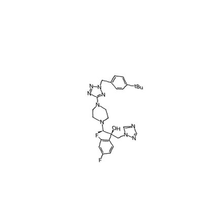 C[C@@H](N1CCN(c2nnn(Cc3ccc(C(C)(C)C)cc3)n2)CC1)[C@](O)(Cn1cncn1)c1ccc(F)cc1F